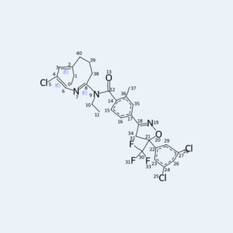 CC\C1=C/C(Cl)=C\N=C(\N(CC)C(=O)c2ccc(C3=NOC(c4cc(Cl)cc(Cl)c4)(C(F)(F)F)C3)cc2C)CCC1